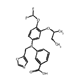 CCC(C)Oc1cc(N(Cc2cnco2)c2cccc(C(=O)O)c2)ccc1OC(F)F